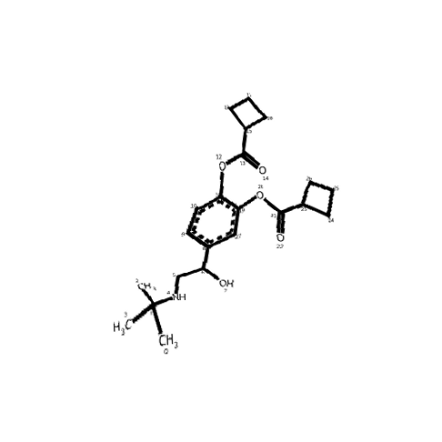 CC(C)(C)NCC(O)c1ccc(OC(=O)C2CCC2)c(OC(=O)C2CCC2)c1